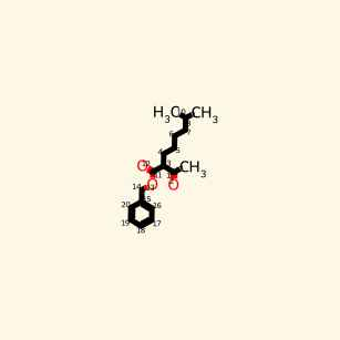 CC(=O)C(CCCCC(C)C)C(=O)OCc1ccccc1